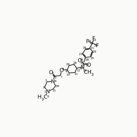 CN1CCN(C(=O)COC2CCC(N(C)S(=O)(=O)c3ccc(C(F)(F)F)cc3)CC2)CC1